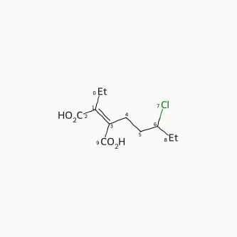 CCC(C(=O)O)=C(CCC(Cl)CC)C(=O)O